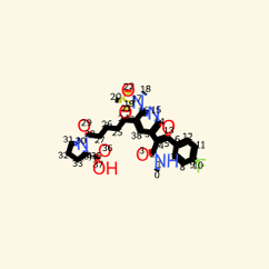 CNC(=O)c1c(-c2ccc(F)cc2)oc2nc(N(C)S(C)(=O)=O)c(CCCCC(=O)N3CCC[C@H]3C(=O)O)cc12